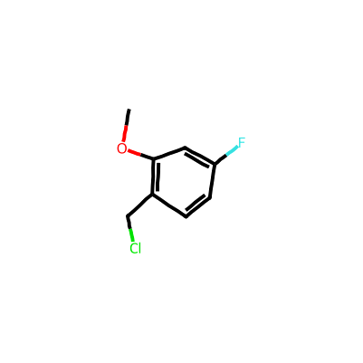 COc1cc(F)ccc1CCl